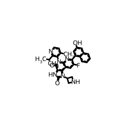 Cc1ccnc(C(C)C)c1-n1c(=O)c2[nH]c(=O)n(C3CNC3)c2c2cc(F)c(-c3cc(O)cc4ccccc34)nc21